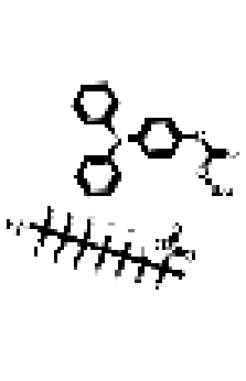 CC(C)(C)OC(=O)Oc1ccc([S+](c2ccccc2)c2ccccc2)cc1.O=S(=O)([O-])C(F)(F)C(F)(F)C(F)(F)C(F)(F)C(F)(F)C(F)(F)C(F)(F)C(F)(F)F